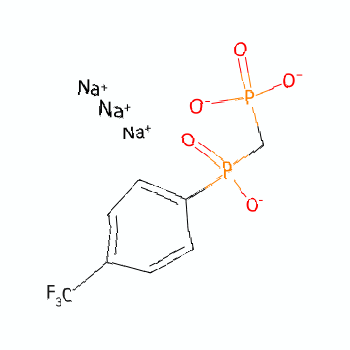 O=P([O-])([O-])CP(=O)([O-])c1ccc(C(F)(F)F)cc1.[Na+].[Na+].[Na+]